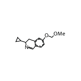 COCOc1ccc2c(c1)CC(C1CC1)N=C2